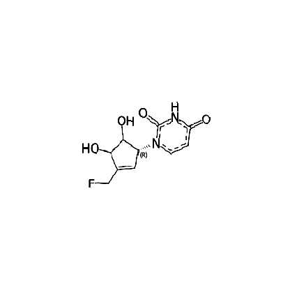 O=c1ccn([C@@H]2C=C(CF)C(O)C2O)c(=O)[nH]1